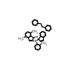 Cc1ccccc1P[C]1([Hf][CH]2C=Cc3c(C)ccc(C)c32)C=Cc2ccccc21.c1ccc(CCc2ccccc2)cc1